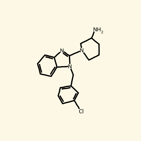 NC1CCCN(c2nc3ccccc3n2Cc2cccc(Cl)c2)C1